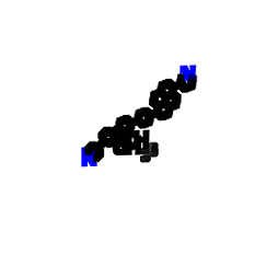 CC1(C)c2cc(-c3ccncc3)ccc2-c2ccc(-c3ccc(-c4ccc5ccc6c(-c7cccnc7)ccc7ccc4c5c76)cc3)cc21